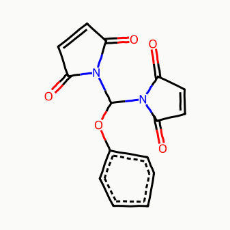 O=C1C=CC(=O)N1C(Oc1ccccc1)N1C(=O)C=CC1=O